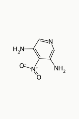 Nc1cncc(N)c1[N+](=O)[O-]